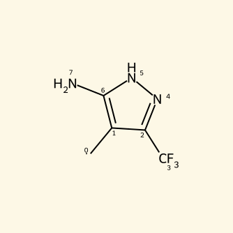 [CH2]c1c(C(F)(F)F)n[nH]c1N